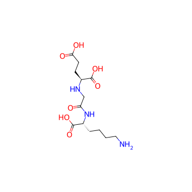 NCCCC[C@@H](NC(=O)CN[C@@H](CCC(=O)O)C(=O)O)C(=O)O